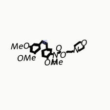 COc1cc(/C=C\c2ccc(OC)c(NC(=O)OCCN3CCOCC3)c2)cc(OC)c1